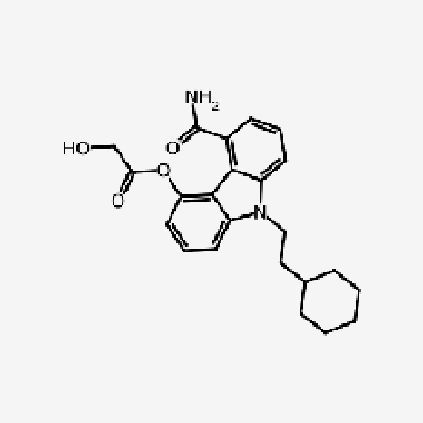 NC(=O)c1cccc2c1c1c(OC(=O)CO)cccc1n2CCC1CCCCC1